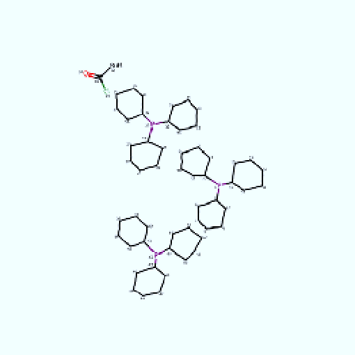 C1CCC(P(C2CCCCC2)C2CCCCC2)CC1.C1CCC(P(C2CCCCC2)C2CCCCC2)CC1.C1CCC(P(C2CCCCC2)C2CCCCC2)CC1.O=[C](Cl)[RuH]